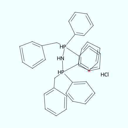 Cl.c1ccc(C[PH](N[PH](Cc2ccccc2)(c2ccccc2)c2ccccc2)(c2ccccc2)c2ccccc2)cc1